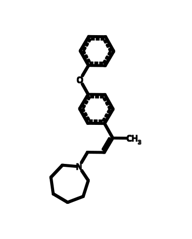 CC(=CCN1CCCCCC1)c1ccc(Oc2ccccc2)cc1